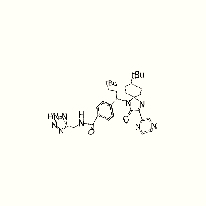 CC(C)(C)CCC(c1ccc(C(=O)NCc2nn[nH]n2)cc1)N1C(=O)C(c2cnccn2)=NC12CCC(C(C)(C)C)CC2